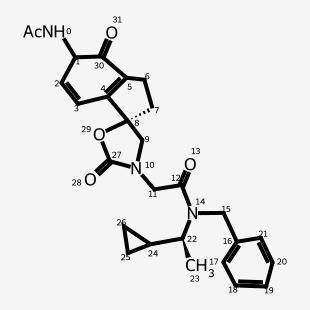 CC(=O)NC1C=CC2=C(CC[C@@]23CN(CC(=O)N(Cc2ccccc2)[C@@H](C)C2CC2)C(=O)O3)C1=O